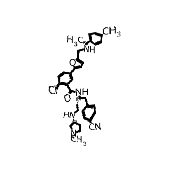 Cc1ccc([C@@H](C)NCc2ccc(-c3ccc(Cl)c(C(=O)N[C@@H](CCN[C@@H]4CCN(C)C4)Cc4ccc(C#N)cc4)c3)o2)cc1